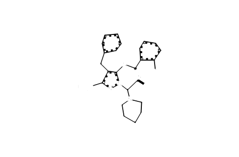 NC(=O)C(N1CCCCC1)n1nc(C(=O)O)c(Cc2ccccc2)c1NC(=O)c1ccccc1Cl